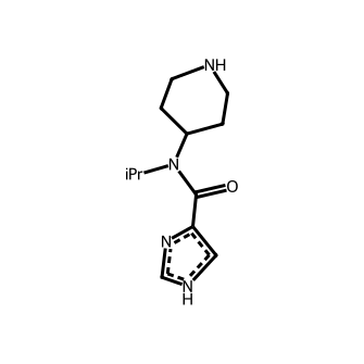 CC(C)N(C(=O)c1c[nH]cn1)C1CCNCC1